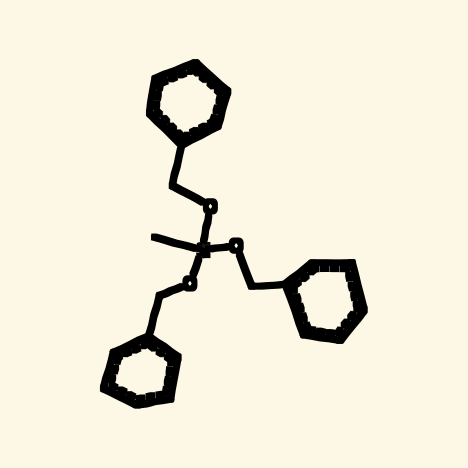 C[Si](OCc1ccccc1)(OCc1ccccc1)OCc1ccccc1